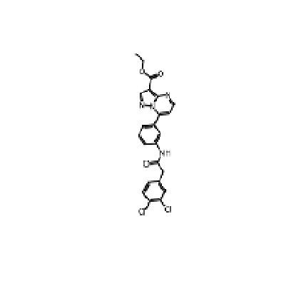 CCOC(=O)c1cnn2c(-c3cccc(NC(=O)Cc4ccc(Cl)c(Cl)c4)c3)ccnc12